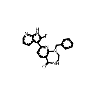 O=C1NCCN(Cc2ccccc2)c2nc(-c3c(F)[nH]c4ncccc34)ccc21